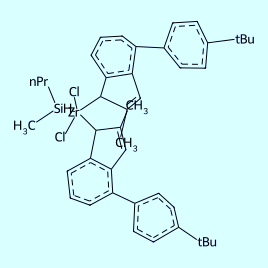 CCC[SiH](C)[Zr]([Cl])([Cl])([CH]1C(C)=Cc2c(-c3ccc(C(C)(C)C)cc3)cccc21)[CH]1C(C)=Cc2c(-c3ccc(C(C)(C)C)cc3)cccc21